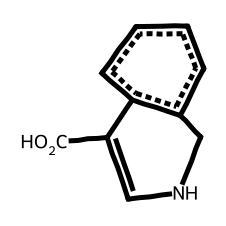 O=C(O)C1=CNCc2ccccc21